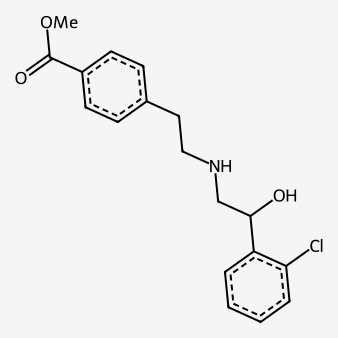 COC(=O)c1ccc(CCNCC(O)c2ccccc2Cl)cc1